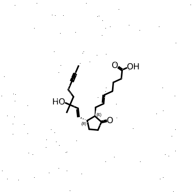 CC#CCCC(C)(O)C=C[C@H]1CCC(=O)[C@@H]1CC=CCCCC(=O)O